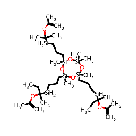 C=C(C)OC(C)(C)[SiH2]CCC[Si]1(C)O[Si](C)(C)O[Si](C)(CCC[SiH2]C(C)(CC)OC(=C)C)O[Si](C)(CCC[SiH2]C(C)(CC)OC(=C)C)O1